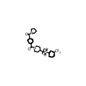 CC(C)(C1CCN(C(=O)c2ccc(C(=O)N3CCCC3)cc2)CC1)S(=O)(=O)c1cccc(C(F)(F)F)c1